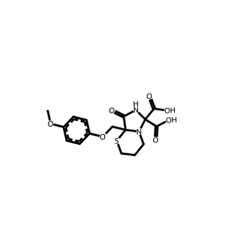 COc1ccc(OCC23SCCCN2C(C(=O)O)(C(=O)O)NC3=O)cc1